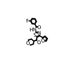 O=C(Nc1nc(-c2ccco2)c(C(=O)C2CCOCC2)s1)c1cccc(F)c1